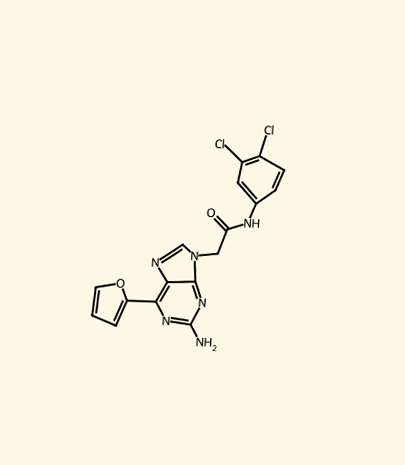 Nc1nc(-c2ccco2)c2ncn(CC(=O)Nc3ccc(Cl)c(Cl)c3)c2n1